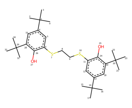 CC(C)(C)c1cc(SCCSc2cc(C(C)(C)C)cc(C(C)(C)C)c2O)c(O)c(C(C)(C)C)c1